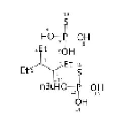 CCCCC(CC)C(CC)CC.OP(O)(O)=S.OP(O)(O)=S